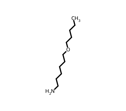 CCCCCOCCCCCCN